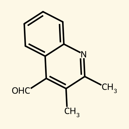 Cc1nc2ccccc2c(C=O)c1C